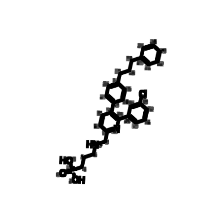 O=P(O)(O)CCCNCc1ccc(-c2ccc(CCCc3ccccc3)cc2)c(-c2cccc(Cl)c2)n1